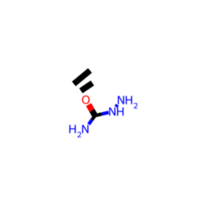 C=C.C=C.NNC(N)=O